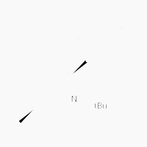 C[C@H]1CC[C@@H](c2ccccc2)N(C(C)(C)C)C1